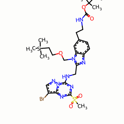 CC(C)(C)OC(=O)NCCc1ccc2nc(CNc3nc(S(C)(=O)=O)nc4c(Br)cnn34)n(COCC[Si](C)(C)C)c2c1